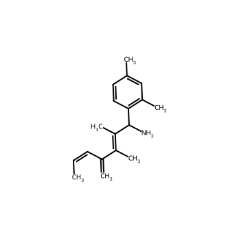 C=C(/C=C\C)/C(C)=C(\C)C(N)c1ccc(C)cc1C